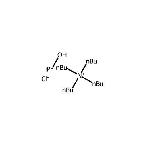 CC(C)O.CCCC[N+](CCCC)(CCCC)CCCC.[Cl-]